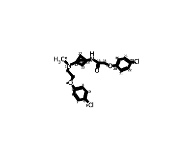 CN(CCOc1ccc(Cl)cc1)C12CC(NC(=O)COc3ccc(Cl)cc3)(C1)C2